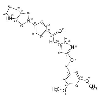 COc1cc(COc2cc(NC(=O)c3ccc(N4CC5CCCNC5C4)cc3)[nH]n2)cc(OC)c1